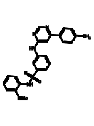 COc1ccccc1NS(=O)(=O)c1cccc(Nc2cc(-c3ccc(C)cc3)ncn2)c1